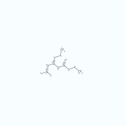 C[SiH](C)O[SiH](CCC(F)(F)F)O[SiH](C)CCC(F)(F)F